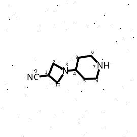 N#CC1CN(C2CCNCC2)C1